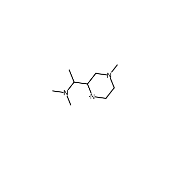 CC(C1CN(C)CC[N]1)N(C)C